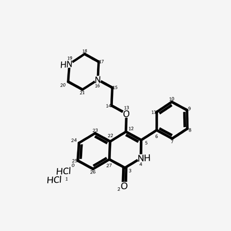 Cl.Cl.O=c1[nH]c(-c2ccccc2)c(OCCN2CCNCC2)c2ccccc12